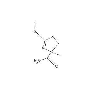 CSC1=NC(C)(C(N)=O)CS1